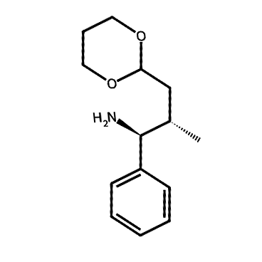 C[C@@H](CC1OCCCO1)[C@H](N)c1ccccc1